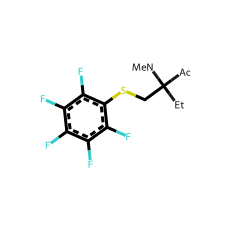 CCC(CSc1c(F)c(F)c(F)c(F)c1F)(NC)C(C)=O